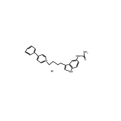 NC(=O)Nc1ccc2[nH]cc(CCCC[n+]3ccc(-c4ccccc4)cc3)c2c1.[Br-]